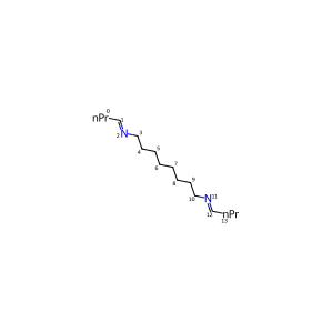 CCCC=NCCCCCCCCN=CCCC